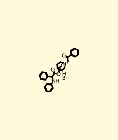 O=C(C[N+]12CCC(CC1)[C@@H](OC(=O)C(Nc1ccccc1)c1ccccc1)C2)c1ccccc1.[Br-]